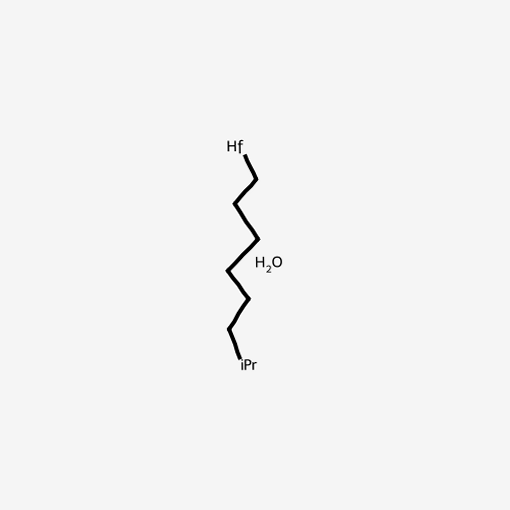 CC(C)CCCCC[CH2][Hf].O